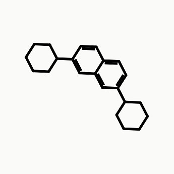 c1cc2ccc(C3CCCCC3)cc2cc1C1CCCCC1